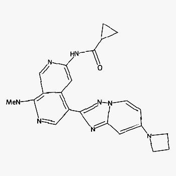 CNc1ncc(-c2nc3cc(N4CCC4)ccn3n2)c2cc(NC(=O)C3CC3)ncc12